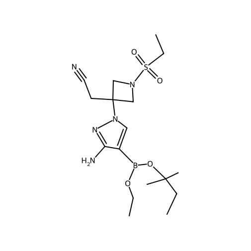 CCOB(OC(C)(C)CC)c1cn(C2(CC#N)CN(S(=O)(=O)CC)C2)nc1N